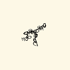 O=C(O)CCc1ccccc1NC(=O)[C@H](CCCNC(=O)OCc1ccccc1)NC(=O)c1ccc(-c2ccc(Cl)cc2)o1